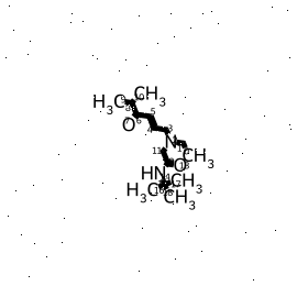 CCN(C/C=C/C(=O)C(C)C)CC(=O)NC(C)(C)C